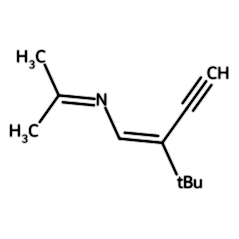 C#C/C(=C\N=C(C)C)C(C)(C)C